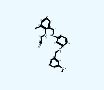 COc1cccc(COc2cccc(OCc3cccc(C)c3OCC#N)c2)c1